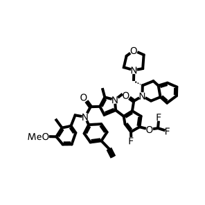 C#Cc1ccc(N(Cc2cccc(OC)c2C)C(=O)c2cc(-c3cc(F)c(OC(F)F)cc3C(=O)N3Cc4ccccc4C[C@H]3CN3CCOCC3)n(C)c2C)cc1